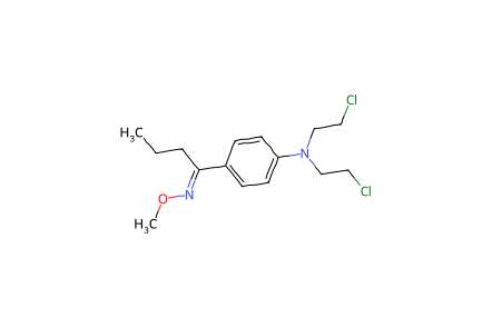 CCCC(=NOC)c1ccc(N(CCCl)CCCl)cc1